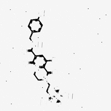 CN(CCN1CCn2c(c(F)cc(C(=O)NCc3ccc(Cl)cc3)c2=O)C1=O)S(C)(=O)=O